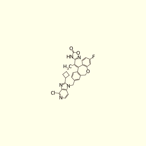 CC(=C1c2ccc(Cn3c(C4CCC4)nc4c(Cl)nccc43)cc2COc2cc(F)ccc21)c1noc(=O)[nH]1